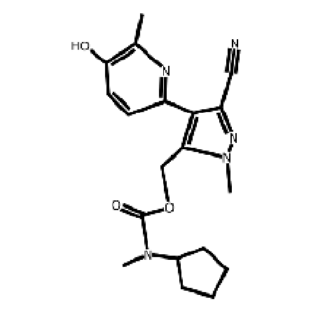 Cc1nc(-c2c(C#N)nn(C)c2COC(=O)N(C)C2CCCC2)ccc1O